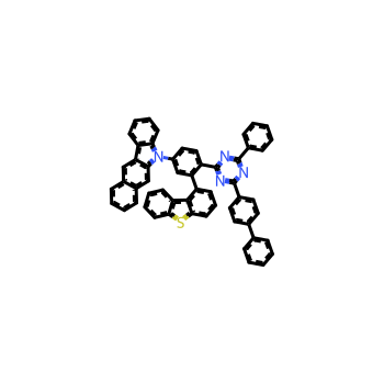 c1ccc(-c2ccc(-c3nc(-c4ccccc4)nc(-c4ccc(-n5c6ccccc6c6cc7ccccc7cc65)cc4-c4cccc5sc6ccccc6c45)n3)cc2)cc1